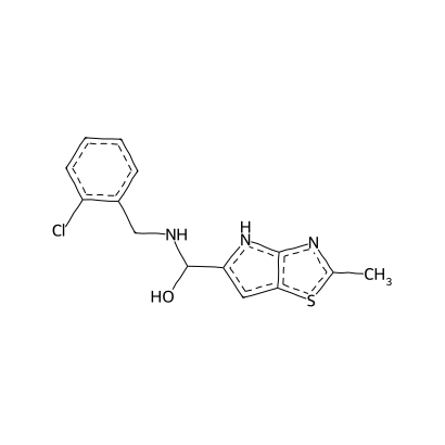 Cc1nc2[nH]c(C(O)NCc3ccccc3Cl)cc2s1